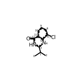 CC(C)c1nc2c(Cl)cccc2c(=O)[nH]1